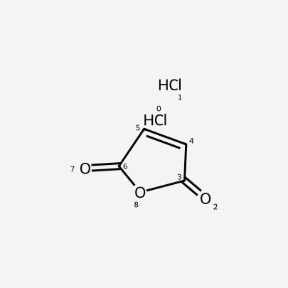 Cl.Cl.O=C1C=CC(=O)O1